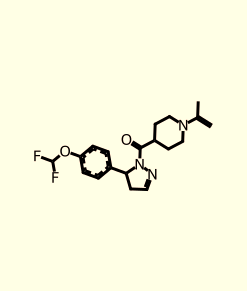 C=C(C)N1CCC(C(=O)N2N=CCC2c2ccc(OC(F)F)cc2)CC1